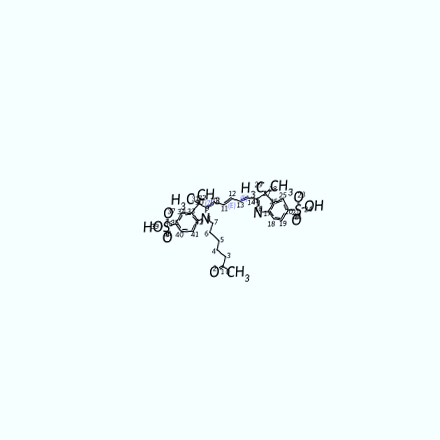 CC(=O)CCCCCN1\C(=C/C=C/C=C/C2=Nc3ccc(S(=O)(=O)O)cc3C2(C)C)C(C)(C)c2cc(S(=O)(=O)O)ccc21